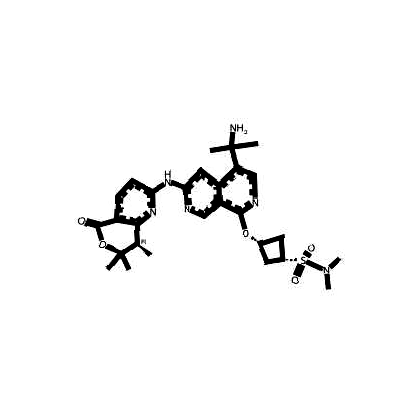 C[C@@H]1c2nc(Nc3cc4c(C(C)(C)N)cnc(O[C@H]5C[C@@H](S(=O)(=O)N(C)C)C5)c4cn3)ccc2C(=O)OC1(C)C